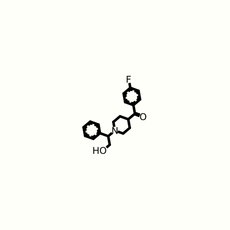 O=C(c1ccc(F)cc1)C1CCN(C(CO)c2ccccc2)CC1